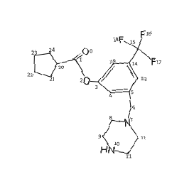 O=C(Oc1cc(CN2CCNCC2)cc(C(F)(F)F)c1)C1CCCC1